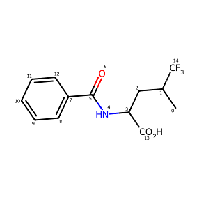 CC(CC(NC(=O)c1ccccc1)C(=O)O)C(F)(F)F